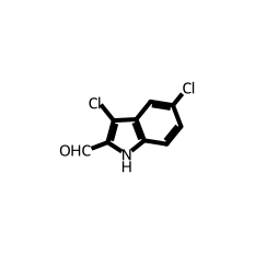 O=Cc1[nH]c2ccc(Cl)cc2c1Cl